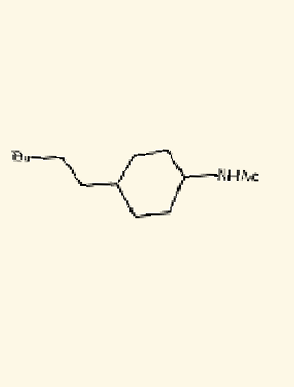 CCC(C)CCC1CCC(NC(C)=O)CC1